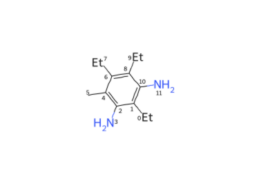 CCc1c(N)c(C)c(CC)c(CC)c1N